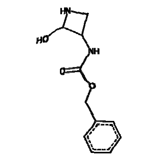 O=C(NC1CNC1O)OCc1ccccc1